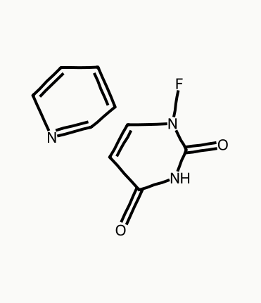 O=c1ccn(F)c(=O)[nH]1.c1ccncc1